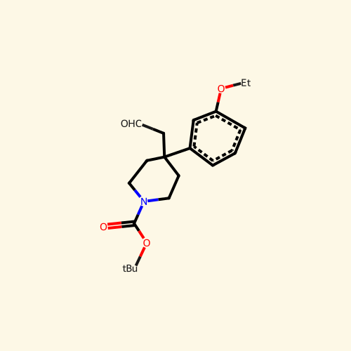 CCOc1cccc(C2(CC=O)CCN(C(=O)OC(C)(C)C)CC2)c1